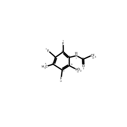 Cc1c(F)c(F)c(NC(=O)C(F)(F)F)c([N+](=O)[O-])c1F